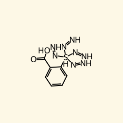 N=N[SH](N=N)(N=N)(N=N)c1ccccc1C(=O)O